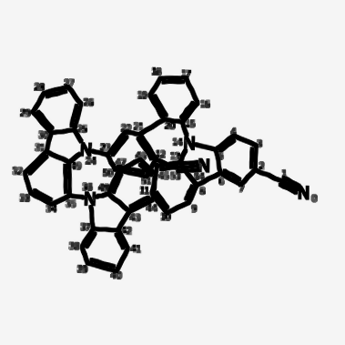 N#Cc1ccc2c(c1)c1ccccc1n2-c1ccccc1-c1cc(-n2c3ccccc3c3cccc(-n4c5ccccc5c5ccccc54)c32)ccc1C#N